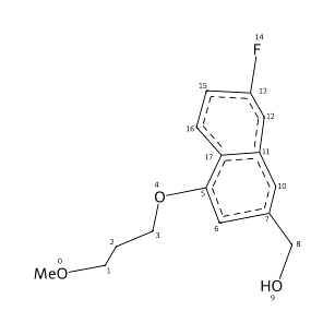 COCCCOc1cc(CO)cc2cc(F)ccc12